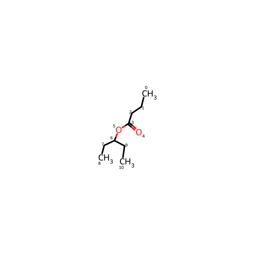 CCCC(=O)OC(CC)CC